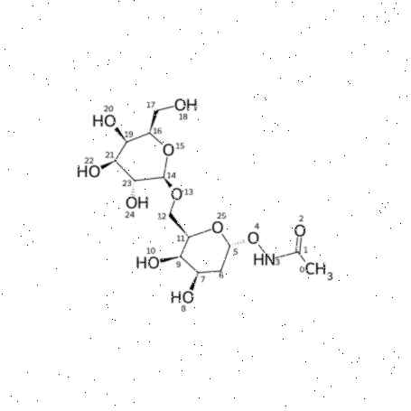 CC(=O)NO[C@@H]1C[C@@H](O)[C@@H](O)[C@@H](CO[C@@H]2O[C@H](CO)[C@H](O)[C@H](O)[C@H]2O)O1